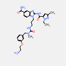 CCn1nc(C)cc1C(=O)Nc1nc2cc(C(N)=O)ccc2n1CCCNC(=O)N(C)Cc1cccc(OCCN)c1